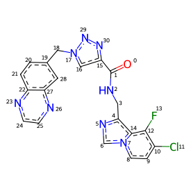 O=C(NCc1ncn2ccc(Cl)c(F)c12)c1cn(Cc2ccc3nccnc3c2)nn1